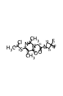 Cc1c(SC(C)Cl)nc(C)n(CC(=O)N2CC(F)(F)C2)c1=O